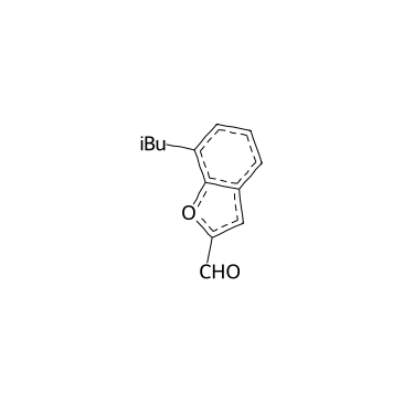 CCC(C)c1cccc2cc(C=O)oc12